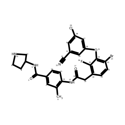 Cc1cc(C(=O)NC2CCNC2)ccc1NC(=O)Cc1ccc(Br)c(Oc2cc(Cl)cc(C#N)c2)c1F